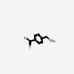 CCC(=O)c1ccc(COC)cc1